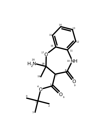 CC(C)(C)OC(=O)C1C(=O)Nc2ccccc2OC1(C)N